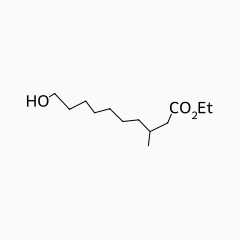 CCOC(=O)CC(C)CCCCCCCO